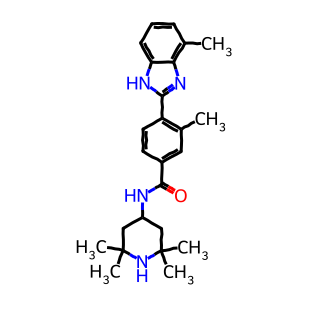 Cc1cc(C(=O)NC2CC(C)(C)NC(C)(C)C2)ccc1-c1nc2c(C)cccc2[nH]1